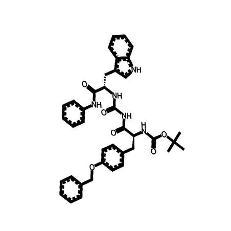 CC(C)(C)OC(=O)N[C@@H](Cc1ccc(OCc2ccccc2)cc1)C(=O)NC(=O)N[C@@H](Cc1c[nH]c2ccccc12)C(=O)Nc1ccccc1